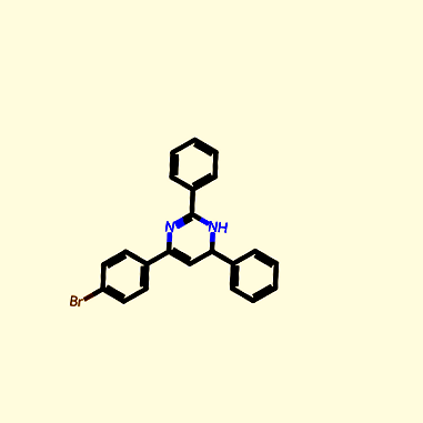 Brc1ccc(C2=CC(c3ccccc3)NC(c3ccccc3)=N2)cc1